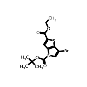 CCOC(=O)c1cc2c(s1)c(Br)cn2C(=O)OC(C)(C)C